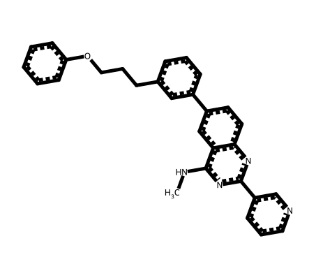 CNc1nc(-c2cccnc2)nc2ccc(-c3cccc(CCCOc4ccccc4)c3)cc12